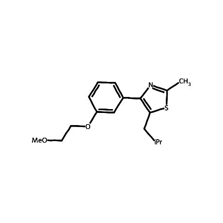 COCCOc1cccc(-c2nc(C)sc2CC(C)C)c1